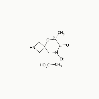 CC(=O)O.CCN1CC2(CNC2)O[C@H](C)C1=O